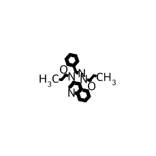 CCC(=O)N1N=C(c2ccccc2)N(C(=O)CC)c2cnc3ccccc3c21